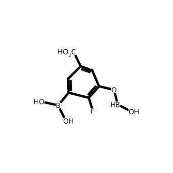 O=C(O)c1cc(OBO)c(F)c(B(O)O)c1